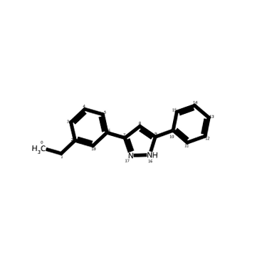 CCc1cccc(-c2cc(-c3ccccc3)[nH]n2)c1